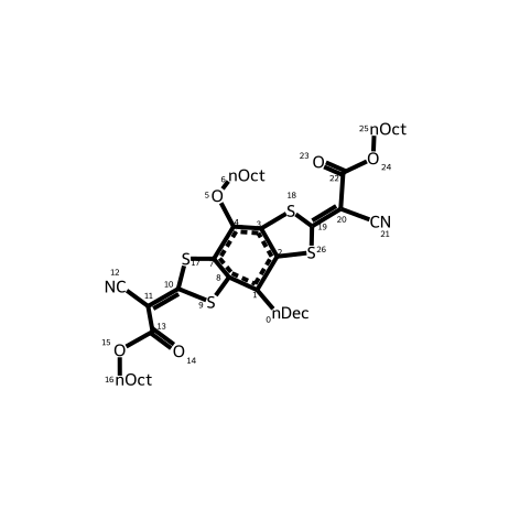 CCCCCCCCCCc1c2c(c(OCCCCCCCC)c3c1S/C(=C(/C#N)C(=O)OCCCCCCCC)S3)S/C(=C(/C#N)C(=O)OCCCCCCCC)S2